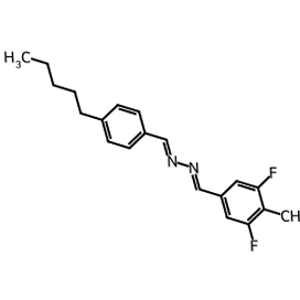 CCCCCc1ccc(C=NN=Cc2cc(F)c(C)c(F)c2)cc1